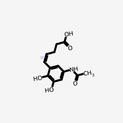 CC(=O)Nc1cc(O)c(O)c(/C=C\CCC(=O)O)c1